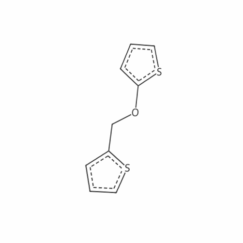 c1csc(COc2cccs2)c1